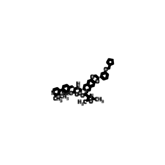 COC(=O)[C@H](Cc1ccc(-c2ccnc(C)c2C)cc1)NC(=O)[C@@H]1Cc2cc3c(cc2CN1C(=O)c1nc(C)oc1C)O[C@@H](c1cccc(OCC2CCCC2)c1)CO3